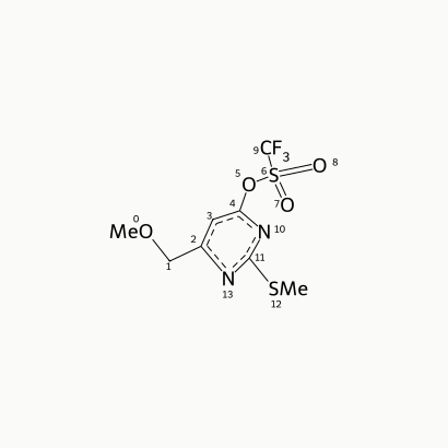 COCc1cc(OS(=O)(=O)C(F)(F)F)nc(SC)n1